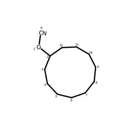 N#COC1CCCCCCCCCC1